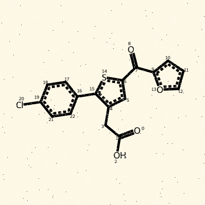 O=C(O)Cc1cc(C(=O)c2ccco2)sc1-c1ccc(Cl)cc1